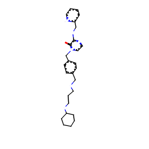 O=c1c(NCc2ccccn2)nccn1Cc1ccc(CNCCCNC2CCCCC2)cc1